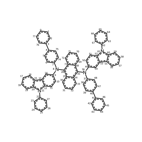 c1ccc(-c2ccc(N(c3ccc4c(c3)c3ccccc3n4-c3ccccc3)c3c4ccccc4c(N(c4ccc(-c5ccccc5)cc4)c4ccc5c(c4)c4ccccc4n5-c4ccccc4)c4ccccc34)cc2)cc1